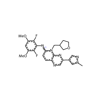 COc1cc(OC)c(F)c(/N=c2\ccc3ncc(-c4cnn(C)c4)nc3n2CC2CCOC2)c1F